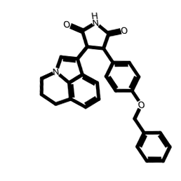 O=C1NC(=O)C(c2cn3c4c(cccc24)CCC3)C1c1ccc(OCc2ccccc2)cc1